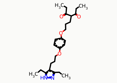 CCC(=O)C(CCCOc1ccc(OCCCc2c(CC)n[nH]c2CC)cc1)C(=O)CC